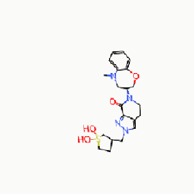 CN1C[C@H](N2CCc3cn(CC4CCS(O)(O)C4)nc3C2=O)COc2ccccc21